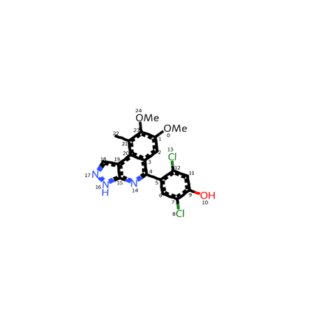 COc1cc2c(-c3cc(Cl)c(O)cc3Cl)nc3[nH]ncc3c2c(C)c1OC